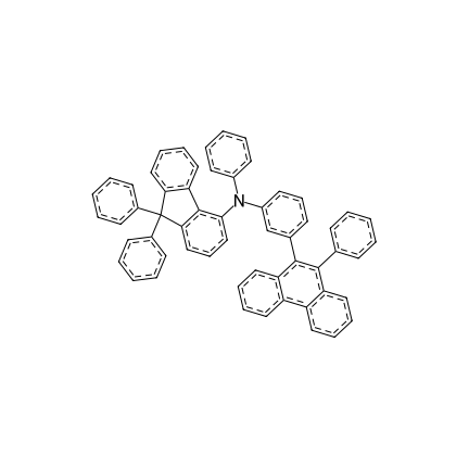 c1ccc(-c2c(-c3cccc(N(c4ccccc4)c4cccc5c4-c4ccccc4C5(c4ccccc4)c4ccccc4)c3)c3ccccc3c3ccccc23)cc1